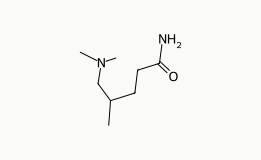 CC(CCC(N)=O)CN(C)C